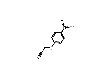 N#CCOc1ccc([N+](=O)[O-])cc1